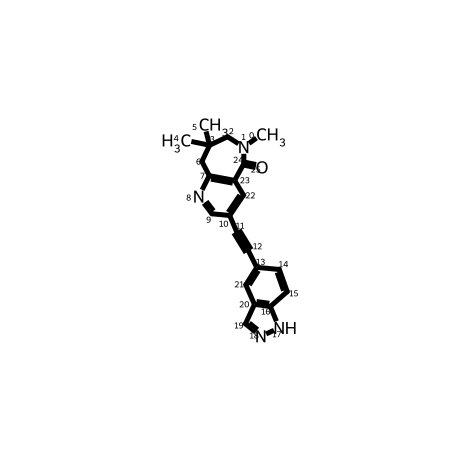 CN1CC(C)(C)Cc2ncc(C#Cc3ccc4[nH]ncc4c3)cc2C1=O